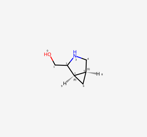 OCC1NC[C@H]2C[C@@H]12